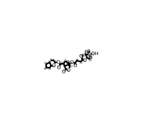 CCC(OC(=O)C1C2OC3C(OC(=O)C31)C2OC(=O)CCC(=O)OC(C)C(F)(F)S(=O)(=O)O)OC1CCCC1